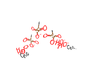 CS(=O)(=O)[O-].CS(=O)(=O)[O-].CS(=O)(=O)[O-].O.[Ce+3].[Ce+3].[OH-].[OH-].[OH-]